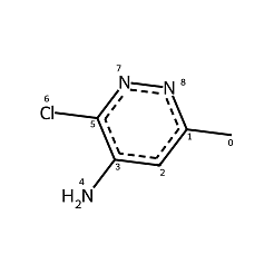 Cc1cc(N)c(Cl)nn1